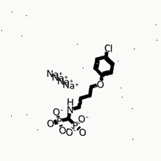 O=P([O-])([O-])C(NCCCCOc1ccc(Cl)cc1)P(=O)([O-])[O-].[Na+].[Na+].[Na+].[Na+]